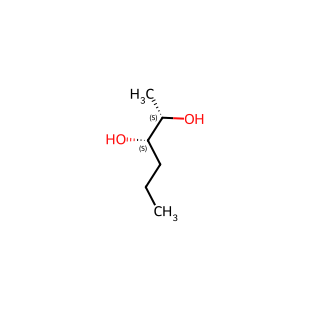 CCC[C@H](O)[C@H](C)O